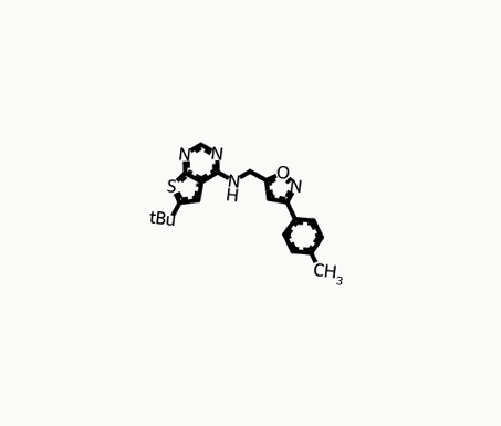 Cc1ccc(-c2cc(CNc3ncnc4sc(C(C)(C)C)cc34)on2)cc1